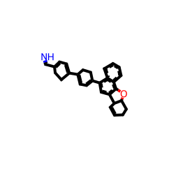 N=CC1=CC=C(C2=CC=C(c3cc4c(c5ccccc35)OC3CCC=CC43)CC2)CC1